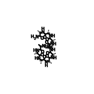 CC(=O)N[C@@H](C)C(=O)N[C@@H](C)C(=O)N[C@@H](C)C(=O)N[C@@H](C)C(=O)N[C@@H](C)C(=O)N[C@@H](C)C(=O)N[C@@H](C)C(=O)N[C@@H](C)C(=O)N[C@@H](C)C(N)=O